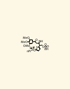 CCCS(=O)(=O)OCC(C(=N)CC(=O)c1cc(OC)c(OC)c(OC)c1)c1ccc(OS(=O)(=O)CCC)s1